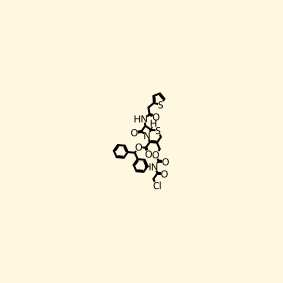 O=C(CCl)NC(=O)OCC1=C(C(=O)OC(c2ccccc2)c2ccccc2)N2C(=O)C(NC(=O)Cc3cccs3)[C@@H]2SC1